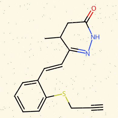 C#CCSc1ccccc1C=CC1=NNC(=O)CC1C